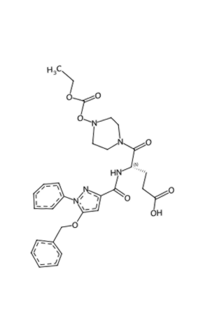 CCOC(=O)ON1CCN(C(=O)[C@H](CCC(=O)O)NC(=O)c2cc(OCc3ccccc3)n(-c3ccccc3)n2)CC1